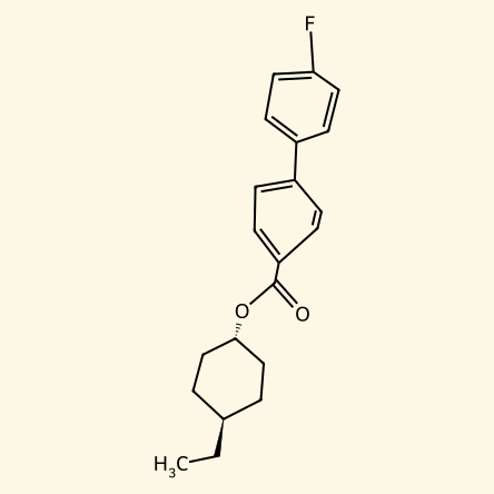 CC[C@H]1CC[C@H](OC(=O)c2ccc(-c3ccc(F)cc3)cc2)CC1